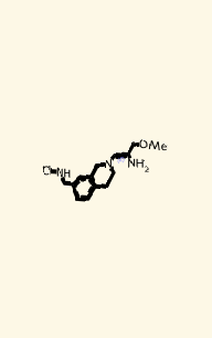 COC/C(N)=C/N1CCc2ccc(CNCl)cc2C1